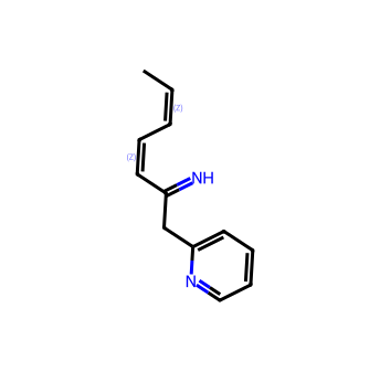 C/C=C\C=C/C(=N)Cc1ccccn1